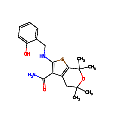 CC1(C)Cc2c(sc(NCc3ccccc3O)c2C(N)=O)C(C)(C)O1